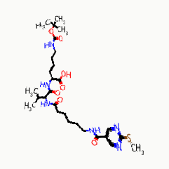 CSc1ncc(C(=O)NCCCCCC(=O)N[C@H](C(=O)N[C@@H](CCCCNC(=O)OC(C)(C)C)C(=O)O)C(C)C)cn1